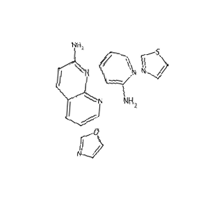 Nc1ccc2cccnc2n1.Nc1ccccn1.c1cocn1.c1cscn1